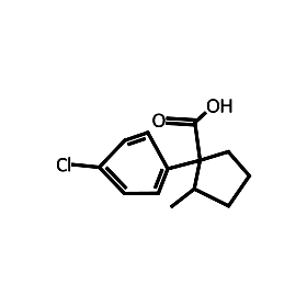 CC1CCCC1(C(=O)O)c1ccc(Cl)cc1